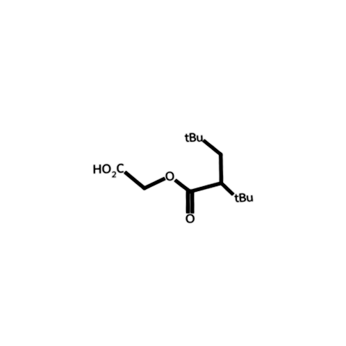 CC(C)(C)CC(C(=O)OCC(=O)O)C(C)(C)C